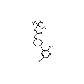 CC(C)(C)OC(=O)CN1CCN(c2cc(Br)nnc2N)CC1